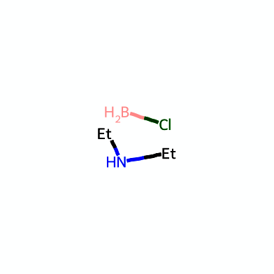 BCl.CCNCC